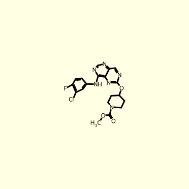 COC(=O)N1CCC(Oc2ncc3ncnc(Nc4ccc(F)c(Cl)c4)c3n2)CC1